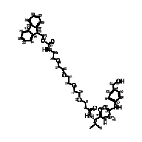 CC(C)[C@H](NC(=O)CCOCCOCCOCCOCCNC(=O)OCC1c2ccccc2-c2ccccc21)C(=O)N[C@@H](C)C(=O)Nc1ccc(CO)cc1